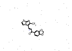 O=C(/C=C/c1c(C(F)(F)F)nc2sccn12)c1ccc2c(c1)OCO2